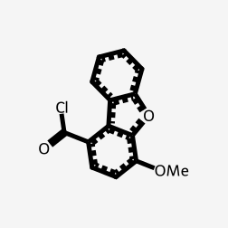 COc1ccc(C(=O)Cl)c2c1oc1ccccc12